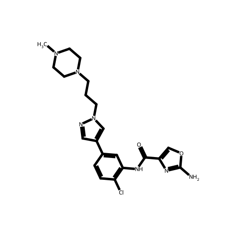 CN1CCN(CCCn2cc(-c3ccc(Cl)c(NC(=O)c4coc(N)n4)c3)cn2)CC1